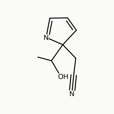 CC(O)C1(CC#N)C=CC=N1